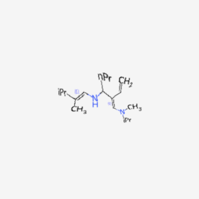 C=C/C(=C\N(C)C(C)C)C(CCC)N/C=C(\C)C(C)C